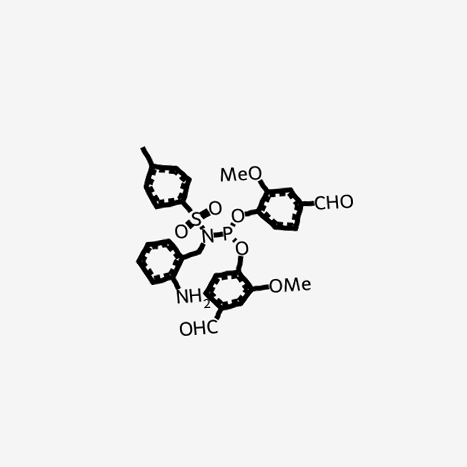 COc1cc(C=O)ccc1OP(Oc1ccc(C=O)cc1OC)N(Cc1ccccc1N)S(=O)(=O)c1ccc(C)cc1